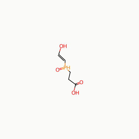 O=C(O)CC[PH](=O)C=CO